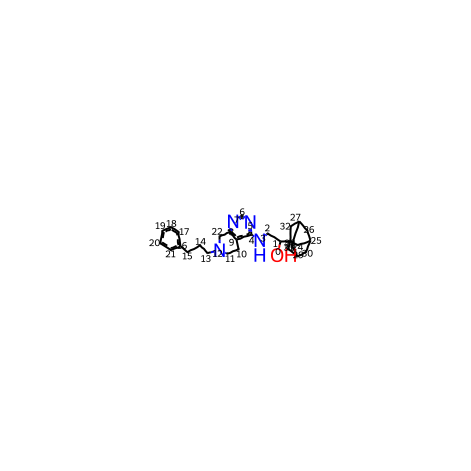 OC(CNc1ncnc2c1CCN(CCCc1ccccc1)C2)C12CC3CC(CC(C3)C1)C2